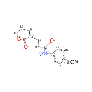 N#Cc1ccc(NC(=O)CCC2CCCOC2=O)cc1